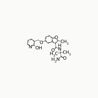 Cc1oc2ccc(OCc3cccnc3O)cc2c1C(=O)NC(C)(C)C(N)=O